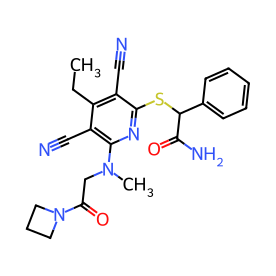 CCc1c(C#N)c(SC(C(N)=O)c2ccccc2)nc(N(C)CC(=O)N2CCC2)c1C#N